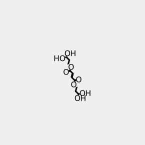 O=C(/C=C/C(=O)OCCC(O)O)OCCC(O)O